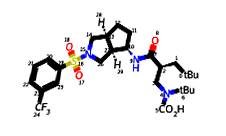 CC(C)(C)C[C@@H](CN(C(=O)O)C(C)(C)C)C(=O)N[C@H]1CC[C@@H]2CN(S(=O)(=O)c3cccc(C(F)(F)F)c3)C[C@@H]21